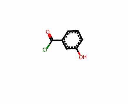 O=C(Cl)c1cc[c]c(O)c1